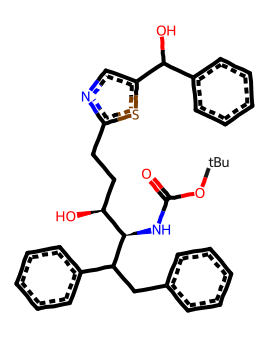 CC(C)(C)OC(=O)N[C@@H](C(Cc1ccccc1)c1ccccc1)[C@@H](O)CCc1ncc(C(O)c2ccccc2)s1